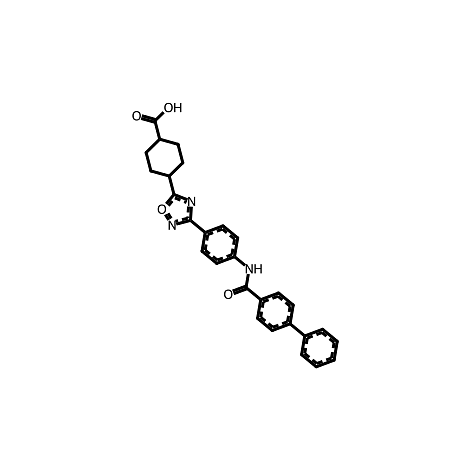 O=C(Nc1ccc(-c2noc(C3CCC(C(=O)O)CC3)n2)cc1)c1ccc(-c2ccccc2)cc1